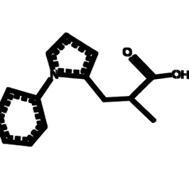 CC(Cc1cccn1-c1ccccc1)C(=O)O